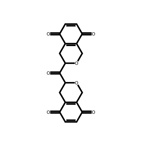 O=C1C=CC(=O)C2=C1COC(C(=O)C1CC3=C(CO1)C(=O)C=CC3=O)C2